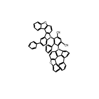 N#Cc1cc(C#N)c(-n2c3cccc(-c4ccccc4)c3c3c4c(ccc32)oc2ccccc24)c(-c2ccccc2)c1-n1c2ccc(-c3ccccc3)cc2c2c3c(ccc21)oc1ccccc13